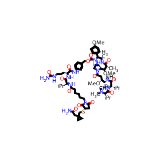 CC[C@H](C)[C@@H]([C@@H](CC(=O)N1CCC[C@H]1[C@H](OC)[C@@H](C)C(=O)N[C@H](C)C(NC(=O)OCc1ccc(NC(=O)[C@H](CCCNC(N)=O)NC(=O)[C@@H](NC(=O)CCCCCN2C(=O)CC(SCC3(CC(N)=O)CC3)C2=O)C(C)C)cc1)c1ccc(OC)cc1)OC)N(C)C(=O)[C@@H](NC(=O)[C@H](C(C)C)N(C)C)C(C)C